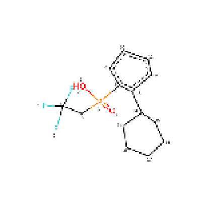 O=P(O)(CC(F)(F)F)c1ccccc1C1CCCCC1